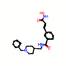 O=C(C=Cc1cccc(C(=O)NCC2CCN(Cc3ccccc3)CC2)c1)NO